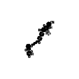 CCc1cc2c(cc1N1CCC(N3CCN(C(=O)CCCCCOc4cccc5c4CN(C4CCC(=O)NC4=O)C5=O)CC3)CC1)C(C)(C)c1[nH]c3cc(C#N)ccc3c1C2=O